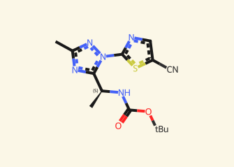 Cc1nc([C@H](C)NC(=O)OC(C)(C)C)n(-c2ncc(C#N)s2)n1